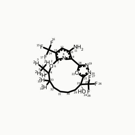 [2H]C([2H])([2H])[C@@]1([2H])Oc2nc(c(N)cc2C(F)(F)F)-c2nnc(o2)[C@@](O)(C(F)(F)F)CCCCC1([2H])[2H]